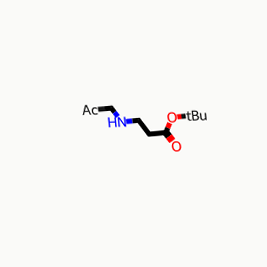 CC(=O)CNCCC(=O)OC(C)(C)C